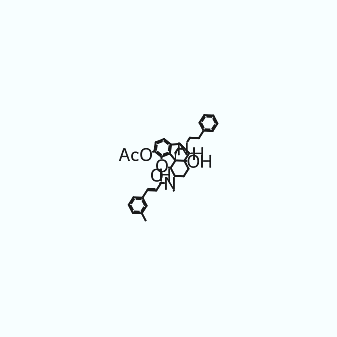 CC(=O)Oc1ccc2c3c1O[C@H]1[C@@H](N(C)C(=O)C=Cc4cccc(C)c4)CCC4(O)[C@@H](C2)N(CCc2ccccc2)CC[C@]314